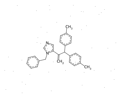 C=C(c1cncn1Cc1ccccc1)C(c1ccc(C)cc1)c1ccc(C)cc1